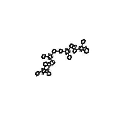 c1ccc(-c2nc(-c3ccc(-c4cccc(-c5nc(-c6ccccc6)nc(-c6cccc7oc8c(-c9nc(-c%10ccccc%10)nc%10c9sc9ccccc9%10)cccc8c67)n5)c4)cc3)nc(-c3cccc4oc5c(-c6nc(-c7ccccc7)c7sc8ccccc8c7n6)cccc5c34)n2)cc1